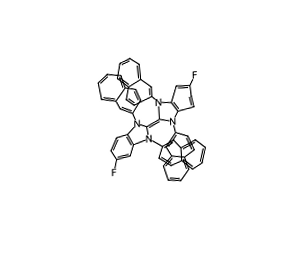 Fc1ccc2c(c1)N(c1ccc3ccccc3c1)/C(=C1\N(c3ccc4ccccc4c3)c3ccc(F)cc3N1c1ccc3ccccc3c1)N2c1ccc2ccccc2c1